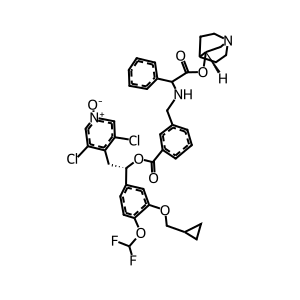 O=C(O[C@@H](Cc1c(Cl)c[n+]([O-])cc1Cl)c1ccc(OC(F)F)c(OCC2CC2)c1)c1cccc(CNC(C(=O)O[C@H]2CN3CCC2CC3)c2ccccc2)c1